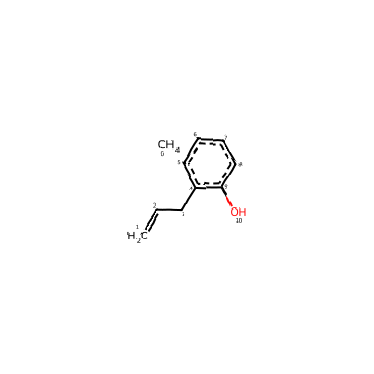 C.C=CCc1ccccc1O